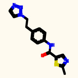 Cc1ncc(C(=O)Nc2ccc(CCn3ccnn3)cc2)s1